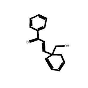 O=C(C=CC1(CO)C=CC=CC1)c1ccccc1